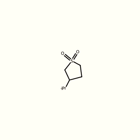 C[C](C)C1CCS(=O)(=O)C1